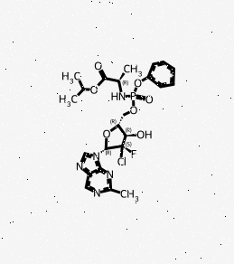 Cc1ncc2ncn([C@@H]3O[C@H](COP(=O)(N[C@H](C)C(=O)OC(C)C)Oc4ccccc4)[C@@H](O)[C@]3(F)Cl)c2n1